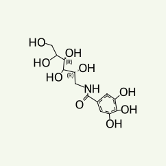 O=C(NC[C@@H](O)C(O)[C@H](O)C(O)CO)c1cc(O)c(O)c(O)c1